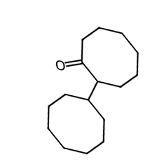 O=C1CCCCCCC1C1CCCCCCC1